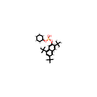 CC(C)(C)c1cc(C(C)(C)C)c2cc(OP(O)OC3CCCCC3)c(C(C)(C)C)cc2c1